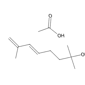 C=C(C)C=CCCC(C)(C)O.CC(=O)O